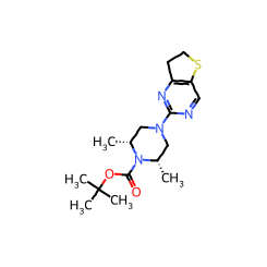 C[C@@H]1CN(c2ncc3c(n2)CCS3)C[C@H](C)N1C(=O)OC(C)(C)C